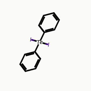 I[Te](I)(c1ccccc1)c1ccccc1